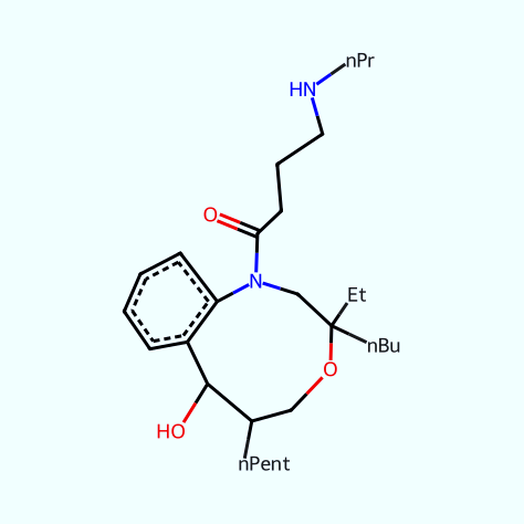 CCCCCC1COC(CC)(CCCC)CN(C(=O)CCCNCCC)c2ccccc2C1O